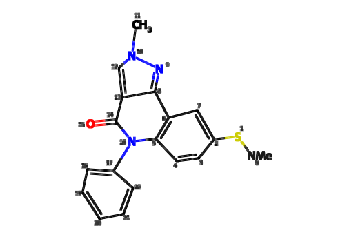 CNSc1ccc2c(c1)c1nn(C)cc1c(=O)n2-c1ccccc1